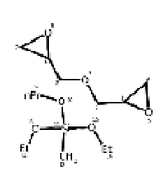 C(OCC1CO1)C1CO1.CCCO[Si](C)(OCC)OCC